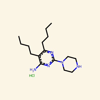 CCCCc1nc(N2CCNCC2)nc(N)c1CCCC.Cl